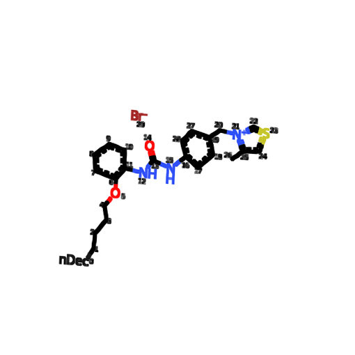 CCCCCCCCCCCCCCOc1ccccc1NC(=O)Nc1ccc(C[n+]2cscc2C)cc1.[Br-]